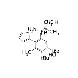 Cc1c(C2=CC=CC2)[c]([Hf]([NH2])[SiH](C)C)cc(C(C)(C)C)c1C(C)(C)C.Cl.Cl